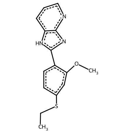 CCSc1ccc(-c2nc3ncccc3[nH]2)c(OC)c1